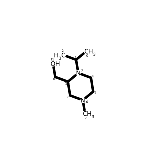 CC(C)N1CCN(C)CC1CO